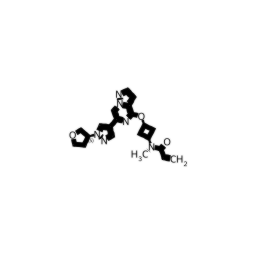 C=CC(=O)N(C)[C@H]1C[C@@H](Oc2nc(-c3cnn([C@H]4CCOC4)c3)cn3nccc23)C1